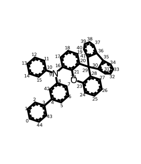 c1ccc(-c2cccc(N(c3ccccc3)c3cccc4c3Oc3ccccc3C43c4ccccc4-c4ccccc43)c2)cc1